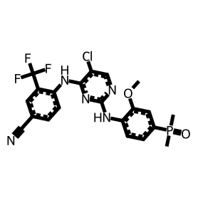 COc1cc(P(C)(C)=O)ccc1Nc1ncc(Cl)c(Nc2ccc(C#N)cc2C(F)(F)F)n1